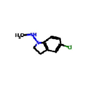 CNN1CCc2cc(Cl)ccc21